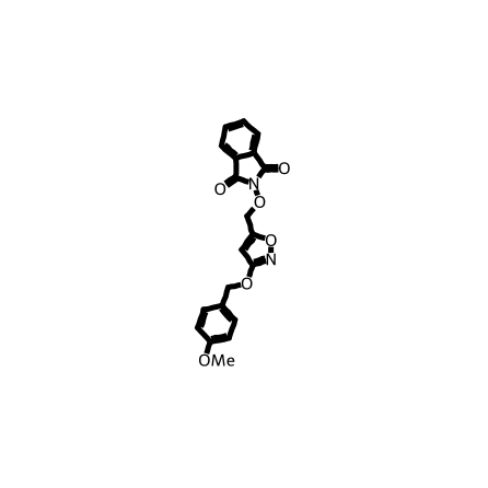 COc1ccc(COc2cc(CON3C(=O)c4ccccc4C3=O)on2)cc1